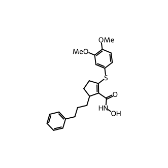 COc1ccc(SC2=C(C(=O)NO)C(CCCc3ccccc3)CC2)cc1OC